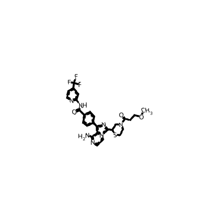 COCCC(=O)N1CCSC(c2nc(-c3ccc(C(=O)Nc4cc(C(F)(F)F)ccn4)cc3)c3c(N)nccn23)C1